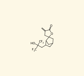 C=C1CC2(CC3CC(CC(O)(C(F)(F)F)C(F)(F)F)C2C3)OC1=O